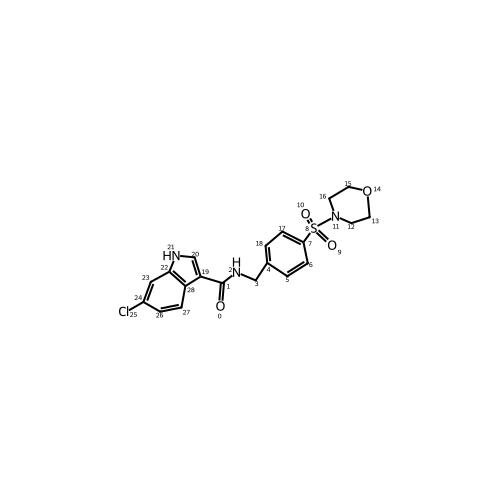 O=C(NCc1ccc(S(=O)(=O)N2CCOCC2)cc1)c1c[nH]c2cc(Cl)ccc12